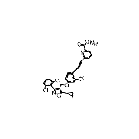 COC(=O)c1cccc(C#Cc2ccc(OCc3c(-c4c(Cl)cccc4Cl)noc3C3CC3)cc2Cl)n1